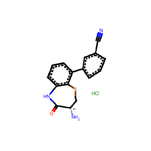 Cl.N#Cc1cccc(-c2cccc3c2SC[C@H](N)C(=O)N3)c1